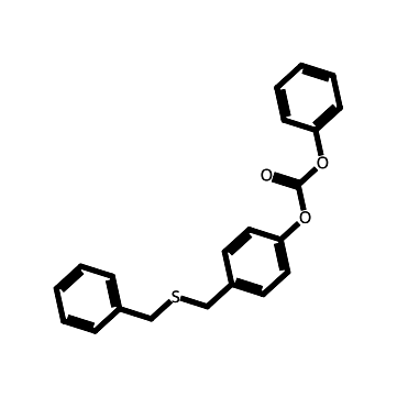 O=C(Oc1ccccc1)Oc1ccc(CSCc2ccccc2)cc1